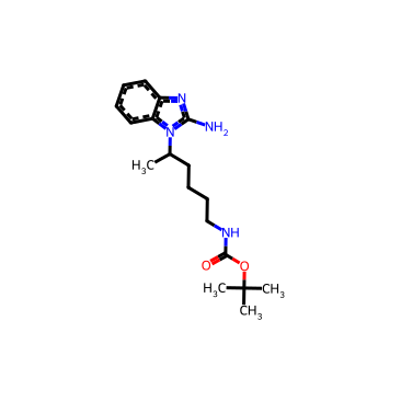 CC(CCCCNC(=O)OC(C)(C)C)n1c(N)nc2ccccc21